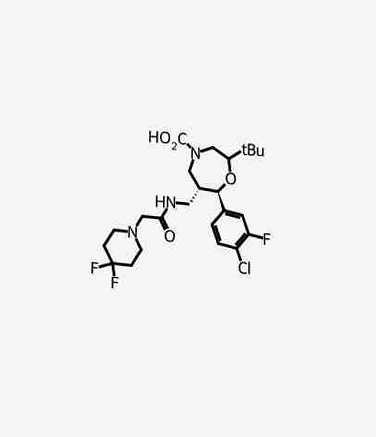 CC(C)(C)C1CN(C(=O)O)C[C@@H](CNC(=O)CN2CCC(F)(F)CC2)[C@H](c2ccc(Cl)c(F)c2)O1